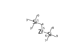 C[Si](C)(C)[CH2][Zr][Si](C)(C)C